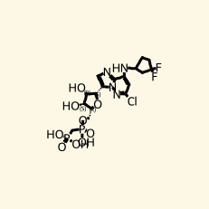 O=P(O)(O)CP(=O)(O)OC[C@H]1O[C@@H](c2cnc3c(NC4CCC(F)(F)C4)cc(Cl)nn23)[C@H](O)[C@@H]1O